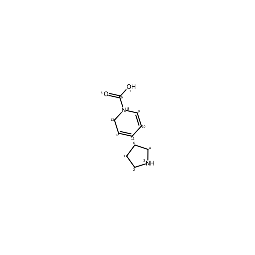 C1CCNC1.O=C(O)N1C=CC=CC1